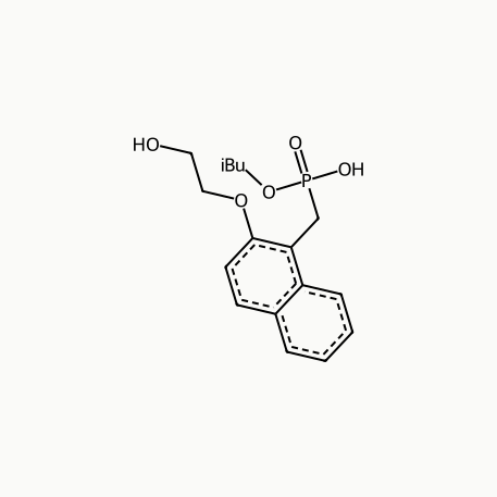 CCC(C)OP(=O)(O)Cc1c(OCCO)ccc2ccccc12